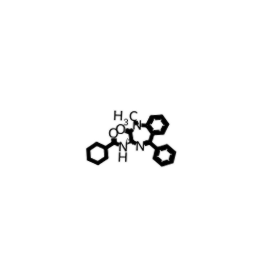 CN1C(=O)[C@@H](NC(=O)C2CCCCC2)N=C(c2ccccc2)c2ccccc21